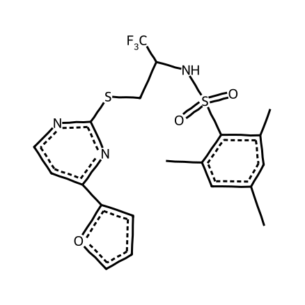 Cc1cc(C)c(S(=O)(=O)NC(CSc2nccc(-c3ccco3)n2)C(F)(F)F)c(C)c1